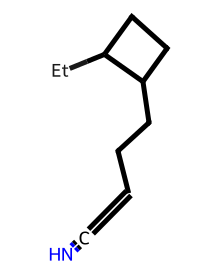 CCC1CCC1CCC=C=N